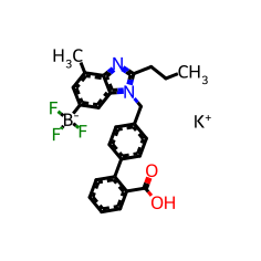 CCCc1nc2c(C)cc([B-](F)(F)F)cc2n1Cc1ccc(-c2ccccc2C(=O)O)cc1.[K+]